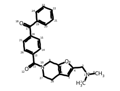 CN(C)Cc1cc2c(o1)CN(C(=O)c1ccc(C(=O)c3ccccc3)cc1)CC2